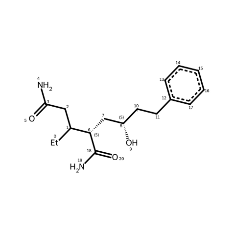 CCC(CC(N)=O)[C@H](C[C@@H](O)[CH]Cc1ccccc1)C(N)=O